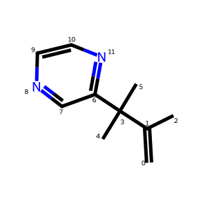 C=C(C)C(C)(C)c1cnccn1